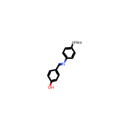 CCCCCCc1ccc(N=Cc2ccc(O)cc2)cc1